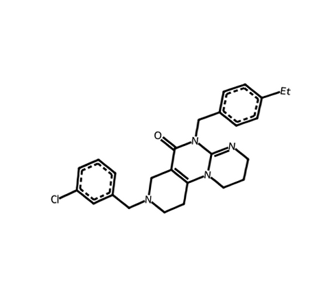 CCc1ccc(CN2C(=O)C3=C(CCN(Cc4cccc(Cl)c4)C3)N3CCCN=C23)cc1